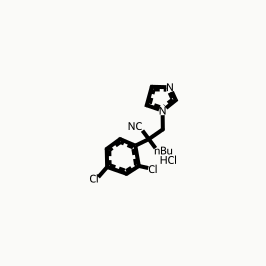 CCCCC(C#N)(Cn1ccnc1)c1ccc(Cl)cc1Cl.Cl